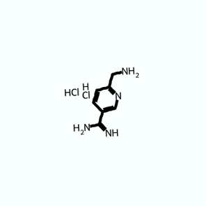 Cl.Cl.N=C(N)c1ccc(CN)nc1